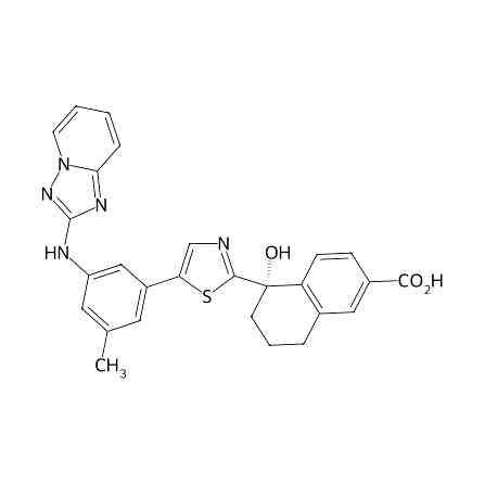 Cc1cc(Nc2nc3ccccn3n2)cc(-c2cnc([C@]3(O)CCCc4cc(C(=O)O)ccc43)s2)c1